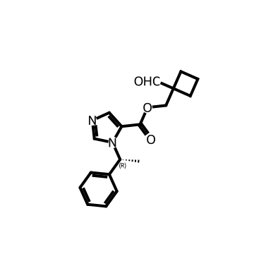 C[C@H](c1ccccc1)n1cncc1C(=O)OCC1(C=O)CCC1